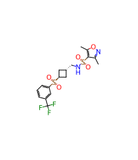 Cc1noc(C)c1S(=O)(=O)NC[C@H]1C[C@H](S(=O)(=O)c2cccc(C(F)(F)F)c2)C1